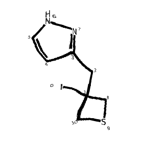 IC1(Cc2cc[nH]n2)CSC1